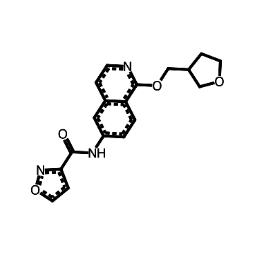 O=C(Nc1ccc2c(OCC3CCOC3)nccc2c1)c1ccon1